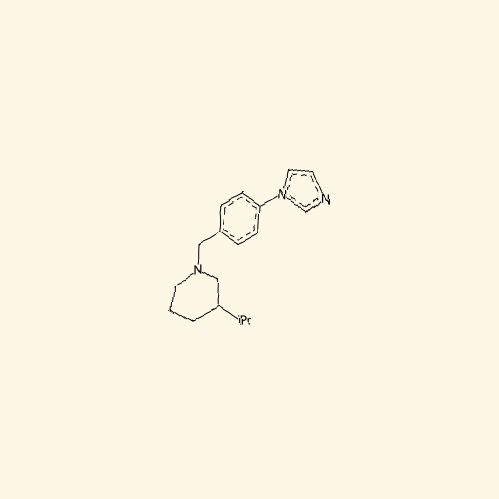 CC(C)C1CCCN(Cc2ccc(-n3ccnc3)cc2)C1